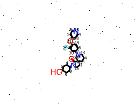 O=C1N([C@H]2CC[C@@H](O)CC2)CC[C@@]12CCCN(c1ccc(Oc3ccncc3)c(F)c1)C2